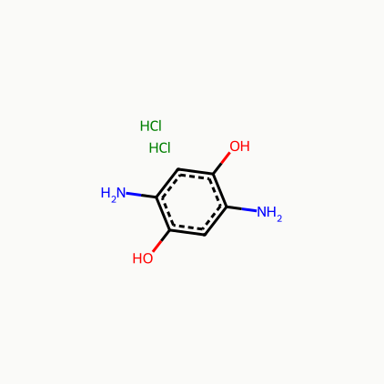 Cl.Cl.Nc1cc(O)c(N)cc1O